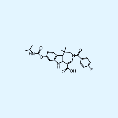 CC(C)NC(=O)Oc1ccc2c3c([nH]c2c1)C(C(=O)O)=CN(C(=O)c1ccc(F)cc1)CC3(C)C